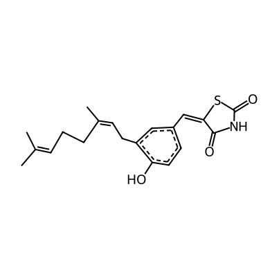 CC(C)=CCCC(C)=CCc1cc(C=C2SC(=O)NC2=O)ccc1O